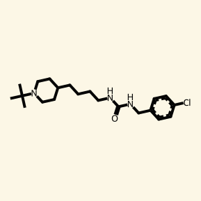 CC(C)(C)N1CCC(CCCCNC(=O)NCc2ccc(Cl)cc2)CC1